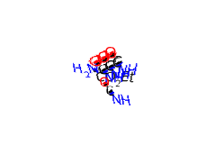 CCOC(N)=O.N=C=O.N=C=O.N=C=O.N=C=O